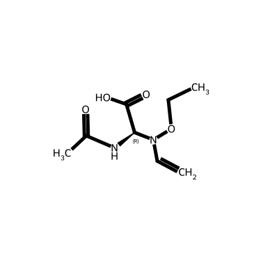 C=CN(OCC)[C@@H](NC(C)=O)C(=O)O